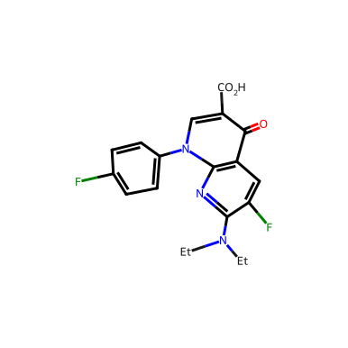 CCN(CC)c1nc2c(cc1F)c(=O)c(C(=O)O)cn2-c1ccc(F)cc1